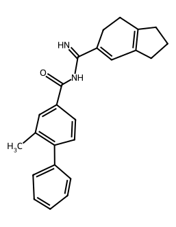 Cc1cc(C(=O)NC(=N)C2=CC3=C(CCC3)CC2)ccc1-c1ccccc1